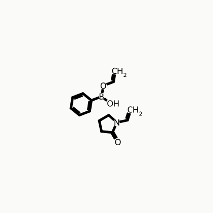 C=CN1CCCC1=O.C=COB(O)c1ccccc1